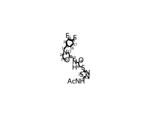 CC(=O)Nc1nnc(SCC(=O)NC[C@H]2CN(Cc3ccc(F)c(F)c3)CCO2)s1